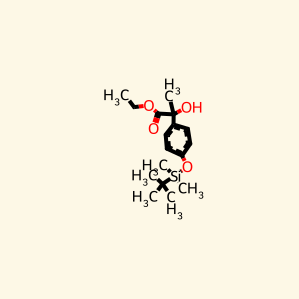 CCOC(=O)C(C)(O)c1ccc(O[Si](C)(C)C(C)(C)C)cc1